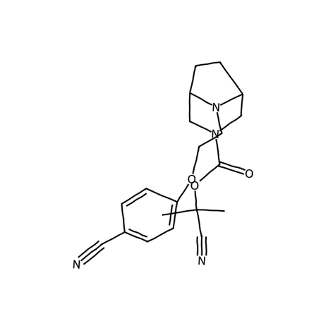 CC(C)(C#N)OC(=O)N1CC2CCC(C1)N2CCOc1ccc(C#N)cc1